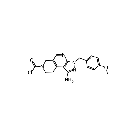 COc1ccc(Cn2nc(N)c3c4c(cnc32)CN(C(=O)Cl)CC4)cc1